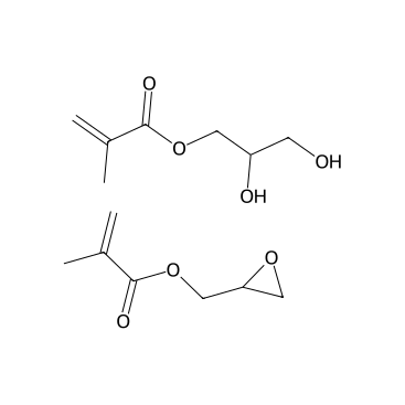 C=C(C)C(=O)OCC(O)CO.C=C(C)C(=O)OCC1CO1